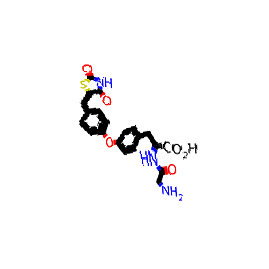 NCC(=O)NC(Cc1ccc(Oc2ccc(C=C3SC(=O)NC3=O)cc2)cc1)C(=O)O